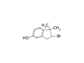 CC1(C)c2ccc(O)cc2CC1Br